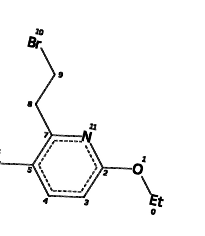 CCOc1ccc(Br)c(CCBr)n1